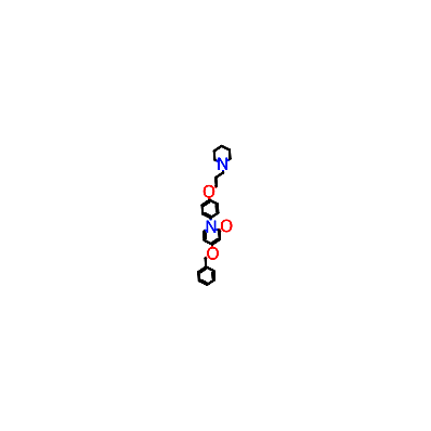 O=c1cc(OCc2ccccc2)ccn1-c1ccc(OCCCN2CCCCC2)cc1